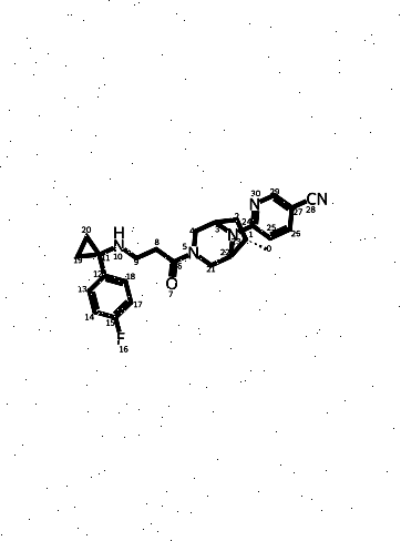 C[C@H]1CC2CN(C(=O)CCNC3(c4ccc(F)cc4)CC3)CC1N2c1ccc(C#N)cn1